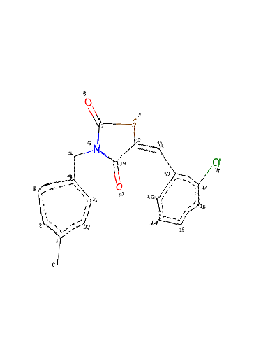 Cc1ccc(CN2C(=O)SC(=Cc3ccccc3Cl)C2=O)cc1